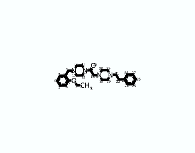 CCOc1ccccc1CN1CCN(C(=O)CN2CCN(CCc3ccccc3)CC2)CC1